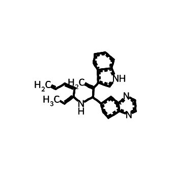 C=C/C=C\C(=C/C)NC(C(=C)c1c[nH]c2ccccc12)c1ccc2nccnc2c1